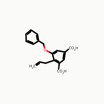 C=CCc1c(OCc2ccccc2)cc(C(=O)O)cc1C(=O)O